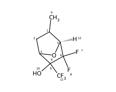 CC1CC2O[C@@H]1C(F)(F)C2(O)C(F)(F)F